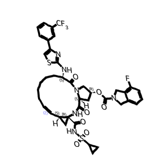 O=C1N[C@]2(C(=O)NS(=O)(=O)C3CC3)C[C@H]2/C=C\CCCCC[C@H](Nc2nc(-c3cccc(C(F)(F)F)c3)cs2)C(=O)N2C[C@H](OC(=O)N3Cc4cccc(F)c4C3)C[C@@H]12